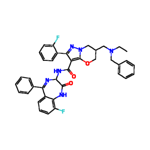 CCN(Cc1ccccc1)CC1COc2c(C(=O)NC3N=C(c4ccccc4)c4cccc(F)c4NC3=O)c(-c3ccccc3F)nn2C1